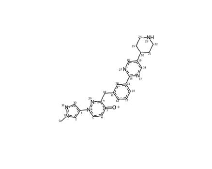 Cn1cc(-n2ccc(=O)c(Cc3cccc(-c4ncc(C5CCNCC5)cn4)c3)n2)cn1